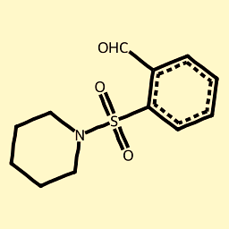 O=Cc1ccccc1S(=O)(=O)N1CCCCC1